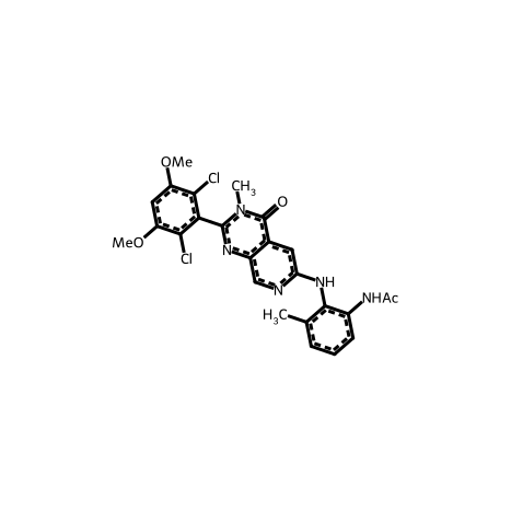 COc1cc(OC)c(Cl)c(-c2nc3cnc(Nc4c(C)cccc4NC(C)=O)cc3c(=O)n2C)c1Cl